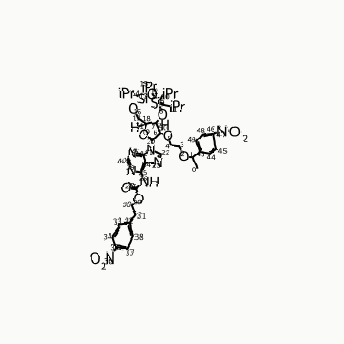 CC(OCCO[C@@H]1[C@@H]2O[Si](C(C)C)(C(C)C)O[Si](C(C)C)(C(C)C)OC[C@H]2O[C@H]1n1cnc2c(NC(=O)OCCc3ccc([N+](=O)[O-])cc3)ncnc21)c1ccc([N+](=O)[O-])cc1